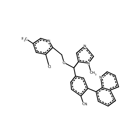 Cn1cncc1C(OCc1ncc(C(F)(F)F)cc1Cl)c1ccc(C#N)c(-c2cccc3cccnc23)c1